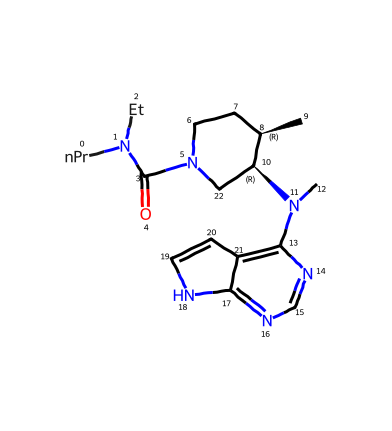 CCCN(CC)C(=O)N1CC[C@@H](C)[C@@H](N(C)c2ncnc3[nH]ccc23)C1